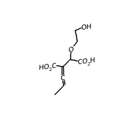 CC=C=C(C(=O)O)C(OCCO)C(=O)O